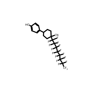 N#CC1(C(F)(F)C(F)(F)C(F)(F)C(F)(F)C(F)(F)C(F)(F)C(F)(F)C(F)(F)F)CCC(c2ccc(O)cc2)CC1